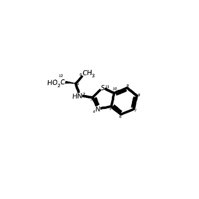 C[C@@H](Nc1nc2ccccc2s1)C(=O)O